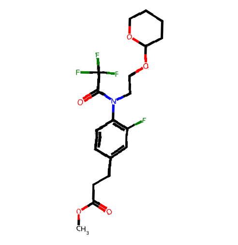 COC(=O)CCc1ccc(N(CCOC2CCCCO2)C(=O)C(F)(F)F)c(F)c1